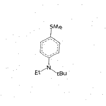 CCN(c1ccc(SC)cc1)C(C)(C)C